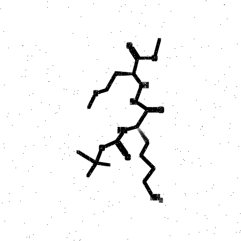 COC(=O)[C@H](CCSC)N[Se]C(=O)[C@H](CCCCN)NC(=O)OC(C)(C)C